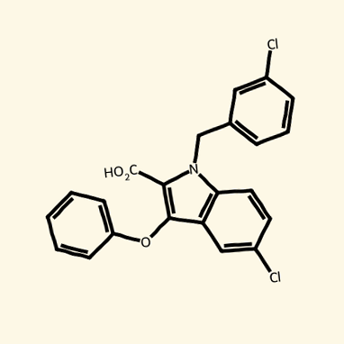 O=C(O)c1c(Oc2ccccc2)c2cc(Cl)ccc2n1Cc1cccc(Cl)c1